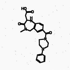 CN1Cc2cc(C(=O)N3CCN(c4ccccc4)CC3)ccc2NC(CC(=O)O)C1=O